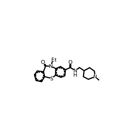 CCN1C(=O)c2ccccc2Sc2ccc(C(=O)NCC3CCN(C)CC3)cc21